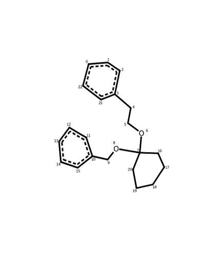 c1ccc(CCOC2(OCc3ccccc3)CCCCC2)cc1